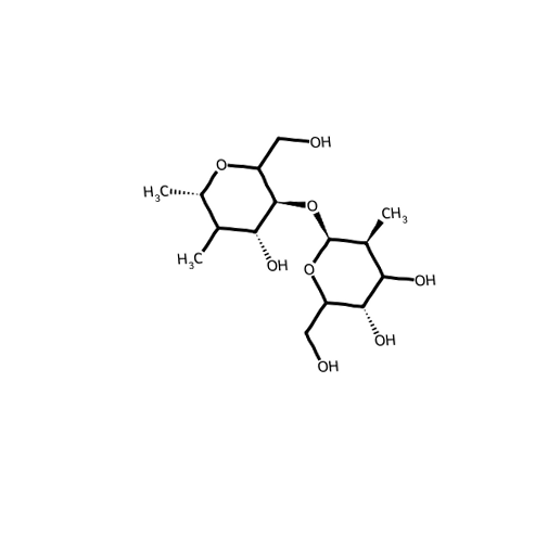 CC1[C@H](C)OC(CO)[C@@H](O[C@@H]2OC(CO)[C@@H](O)C(O)[C@@H]2C)[C@@H]1O